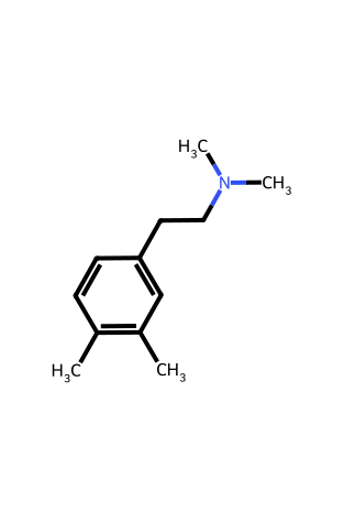 Cc1ccc(CCN(C)C)cc1C